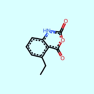 CCc1cccc2[nH]c(=O)oc(=O)c12